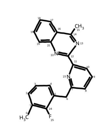 Cc1cccc(Cc2cccc(-c3nc(C)c4ccccc4n3)n2)c1F